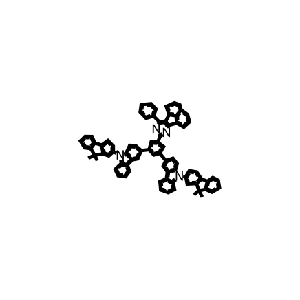 CC1(C)c2ccccc2-c2ccc(-n3c4ccccc4c4cc(-c5cc(-c6ccc7c(c6)c6ccccc6n7-c6ccc7c(c6)C(C)(C)c6ccccc6-7)cc(-c6nc(-c7ccccc7)c7c(n6)-c6cccc8cccc-7c68)c5)ccc43)cc21